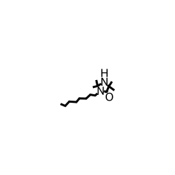 CCCCCCCCN1C(=O)C(C)(C)NC1(C)C